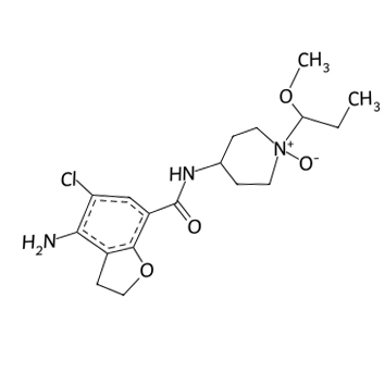 CCC(OC)[N+]1([O-])CCC(NC(=O)c2cc(Cl)c(N)c3c2OCC3)CC1